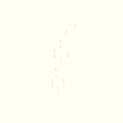 COCCCN1CC(C)N(CC(=O)N2CCN(C(C)C)CC2)C(C)C1